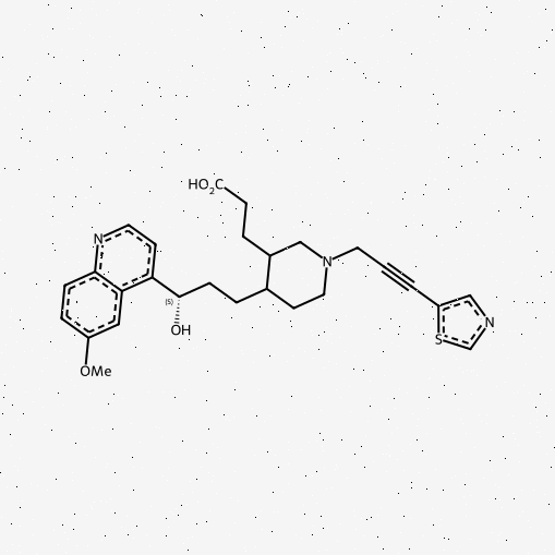 COc1ccc2nccc([C@@H](O)CCC3CCN(CC#Cc4cncs4)CC3CCC(=O)O)c2c1